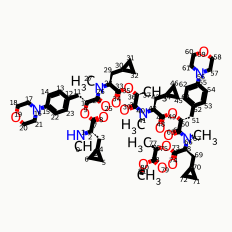 CN[C@@H](CC1CC1)C(=O)O[C@H](Cc1ccc(N2CCOCC2)cc1)C(=O)N(C)[C@@H](CC1CC1)C(=O)O[C@H](C)C(=O)N(C)[C@@H](CC1CC1)C(=O)O[C@H](Cc1ccc(N2CCOCC2)cc1)C(=O)N(C)[C@@H](CC1CC1)C(=O)O[C@H](C)C(=O)OC